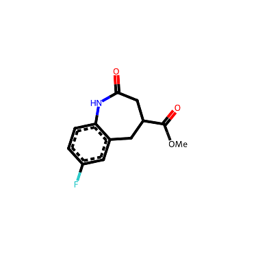 COC(=O)C1CC(=O)Nc2ccc(F)cc2C1